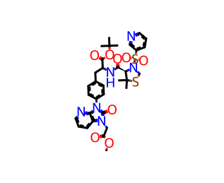 COC(=O)Cn1c(=O)n(-c2ccc(CC(NC(=O)[C@H]3N(S(=O)(=O)c4cccnc4)CSC3(C)C)C(=O)OC(C)(C)C)cc2)c2ncccc21